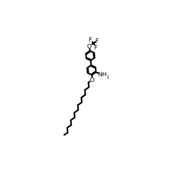 CCCCCCCCCCCCCCCOc1ccc(-c2ccc(OC(F)(F)F)cc2)cc1N